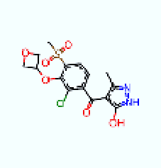 Cc1n[nH]c(O)c1C(=O)c1ccc(S(C)(=O)=O)c(OC2COC2)c1Cl